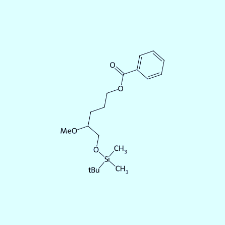 COC(CCCOC(=O)c1ccccc1)CO[Si](C)(C)C(C)(C)C